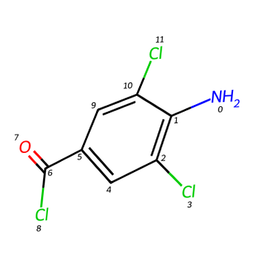 Nc1c(Cl)cc(C(=O)Cl)cc1Cl